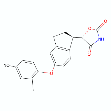 Cc1cc(C#N)ccc1Oc1ccc2c(c1)CC[C@H]2[C@@H]1OC(=O)NC1=O